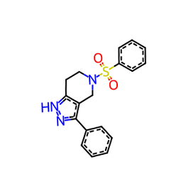 O=S(=O)(c1ccccc1)N1CCc2[nH]nc(-c3ccccc3)c2C1